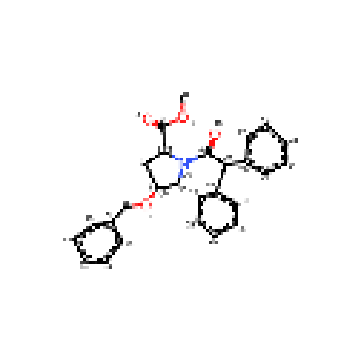 COC(=O)[C@@H]1C[C@H](OCc2ccccc2)CN1C(=O)C(c1ccccc1)c1ccccc1